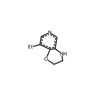 CCc1cncc2c1OCCN2